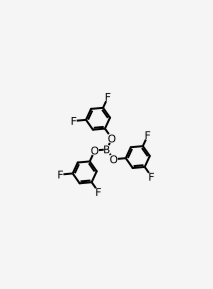 Fc1cc(F)cc(OB(Oc2cc(F)cc(F)c2)Oc2cc(F)cc(F)c2)c1